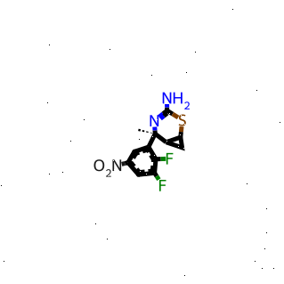 C[C@]1(c2cc([N+](=O)[O-])cc(F)c2F)N=C(N)SC2CC21